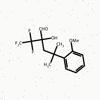 COc1ccccc1C(C)(C)CC(O)(C=O)C(F)(F)C(F)(F)F